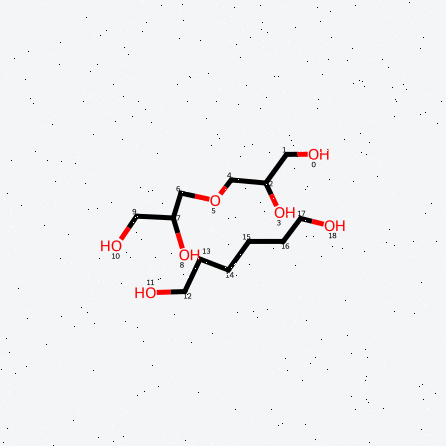 OCC(O)COCC(O)CO.OCCCCCCO